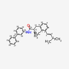 Cc1c(/C=C/C(C)C)cccc1CC(C)C(=O)Nc1cccc(-c2ccccc2)c1